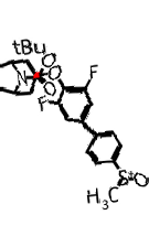 C[S+]([O-])c1ccc(-c2cc(F)c(OC3CC4CCC(C3)N4C(=O)OC(C)(C)C)c(F)c2)cc1